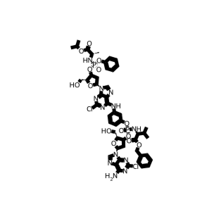 CC(C)OC(=O)[C@H](C)NP(=O)(Oc1ccccc1)OC1C[C@H](n2cnc3c(Nc4cccc(OP(=O)(N[C@H](C(=O)OCc5ccccc5)C(C)C)OC5C[C@H](n6cnc7c(N)nc(Cl)nc76)O[C@@H]5CO)c4)nc(Cl)nc32)O[C@@H]1CO